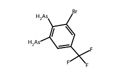 FC(F)(F)c1cc([AsH2])c([AsH2])c(Br)c1